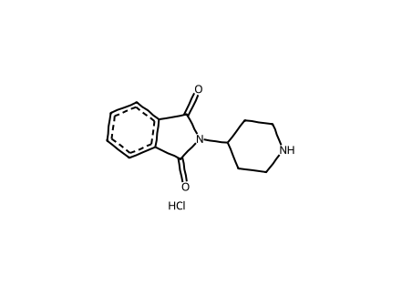 Cl.O=C1c2ccccc2C(=O)N1C1CCNCC1